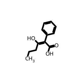 CCCC(O)=C(C(=O)O)c1ccccc1